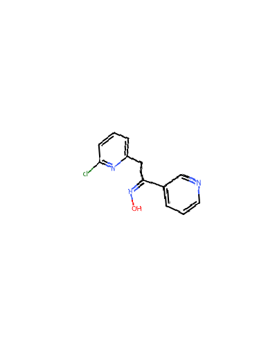 ON=C(Cc1cccc(Cl)n1)c1cccnc1